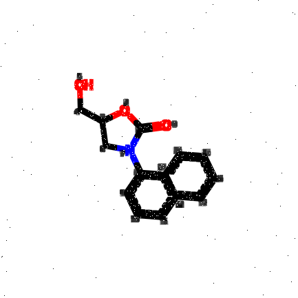 O=C1OC(CO)CN1c1cccc2ccccc12